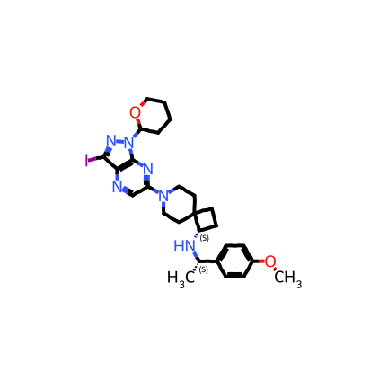 COc1ccc([C@H](C)N[C@H]2CCC23CCN(c2cnc4c(I)nn(C5CCCCO5)c4n2)CC3)cc1